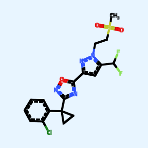 CS(=O)(=O)CCn1nc(-c2nc(C3(c4ccccc4Cl)CC3)no2)cc1C(F)F